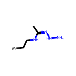 C/C(=N/NN)NCCC(C)C